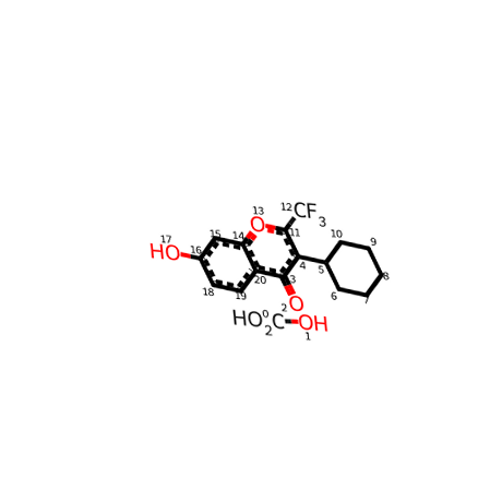 O=C(O)O.O=c1c(C2CCCCC2)c(C(F)(F)F)oc2cc(O)ccc12